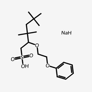 CC(C)(C)CC(C)(C)C(CS(=O)(=O)O)OCCOc1ccccc1.[NaH]